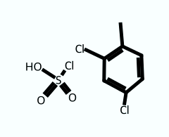 Cc1ccc(Cl)cc1Cl.O=S(=O)(O)Cl